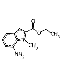 CCOC(=O)c1cc2cccc(N)c2n1C